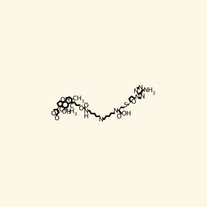 C[C@H]1CCC2C(C[C@@H](O)[C@]3(C)[C@@H](C4=CC(=O)OC4)CC[C@]23O)[C@@]1(C)CCCOC(=O)NCCCCC/N=C\CCC/C=N/[C@@H](CCSC[C@@H]1CC[C@H](n2cnc3c(N)ncnc32)O1)C(=O)O